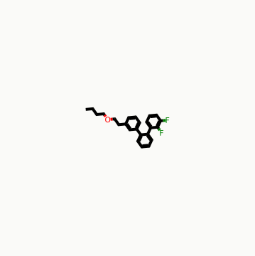 CCCCOCCc1cccc(-c2ccccc2-c2cccc(F)c2F)c1